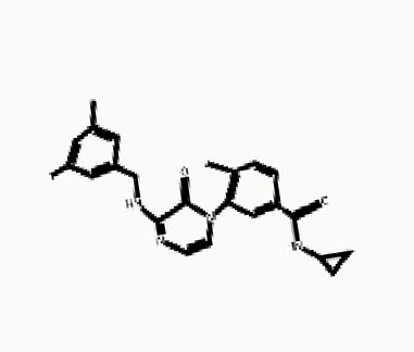 Cc1cc(C)cc(CNc2nccn(-c3cc(C(=O)NC4CC4)ccc3C)c2=O)c1